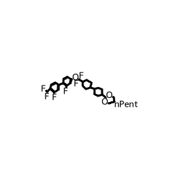 CCCCCC1COC(C2CCC(C3CCC(C(F)(F)Oc4ccc(-c5ccc(C(F)F)c(F)c5)c(F)c4)CC3)CC2)OC1